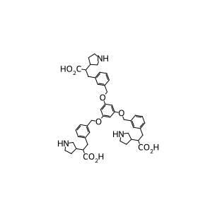 O=C(O)C(Cc1cccc(COc2cc(OCc3cccc(CC(C(=O)O)C4CCNC4)c3)cc(OCc3cccc(CC(C(=O)O)C4CCNC4)c3)c2)c1)C1CCNC1